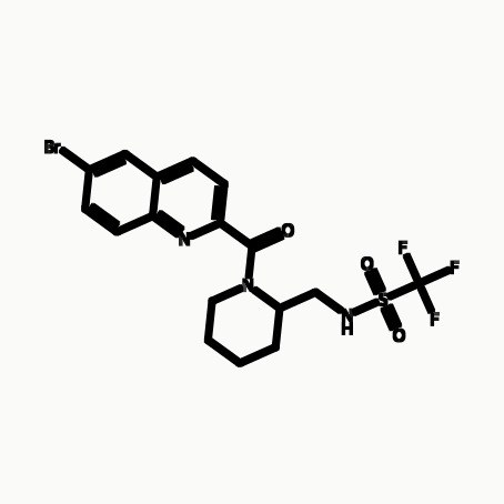 O=C(c1ccc2cc(Br)ccc2n1)N1CCCCC1CNS(=O)(=O)C(F)(F)F